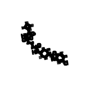 O=C(CCCS(=O)(=O)NC(=O)C1CCC1)NC1CCC(c2nc3cc(Cl)ccc3o2)CC1